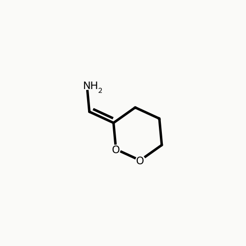 NC=C1CCCOO1